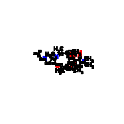 CO[C@]1(C)C[C@@H](C)CN(C)[C@@H](C2CCN(CC3CC3)CC2)COC(=O)C(C)(C)C(=O)[C@H](C)[C@H]1O[C@@H]1O[C@H](C)C[C@H](N(C)C)[C@H]1O